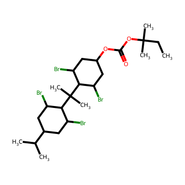 CCC(C)(C)OC(=O)OC1CC(Br)C(C(C)(C)C2C(Br)CC(C(C)C)CC2Br)C(Br)C1